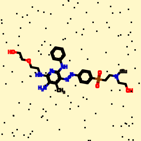 Cc1c(N)c(NCCOCCO)nc(Nc2ccccc2)c1/N=N/c1ccc(S(=O)(=O)CCN(CCO)C(C)(C)C)cc1